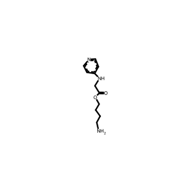 NCCCCOC(=O)CNc1ccncc1